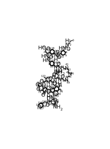 CCCNC(=O)Nc1cccc(S(=O)(=O)Nc2cccc(C(CC(=O)O)NC(=O)Nc3ccc(NC(=O)NCCN(C)CCN(C)CCN(C)CC(=O)NC(CC(N)=O)C(=O)N4CCCC4C(=O)NC(C(=O)OC4(CC)C(=O)OCc5c4cc4n(c5=O)Cc5c-4nc4cc(F)c(C)c6c4c5C(NC(=O)C(CC(N)=O)NC(=O)Cc4ccncc4)CC6)C(C)C)cc3)c2)c1